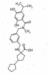 CC(C)c1cc(C(=O)N(C)Cc2cccc(CNC3(C(=O)O)CCC(C4CCCC4)C3)c2)c(O)cc1O